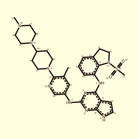 Cc1cc(Nc2nc(Nc3cccc4c3N(S(C)(=O)=O)CC4)c3cc[nH]c3n2)cnc1N1CCC(N2CCN(C)CC2)CC1